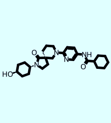 O=C(Nc1ccc(N2CCC[C@@]3(CCN([C@H]4CC[C@H](O)CC4)C3=O)C2)nc1)C1CCCCC1